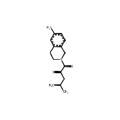 CC(C)CC(=O)C(=O)N1CCc2cc(N)ccc2C1